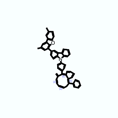 C=C1/C=C\C=C/C/C(c2ccccc2)=c2/cccc/c2=C/1c1ccc(-n2c3ccccc3c3cc(-c4cc(C)cc5c4oc4ccc(C)cc45)ccc32)cc1